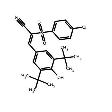 CC(C)(C)c1cc(C=C(C#N)S(=O)(=O)c2ccc(Cl)cc2)cc(C(C)(C)C)c1O